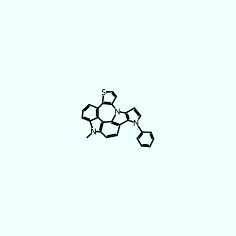 Cn1c2cccc3c4sccc4n4c5ccn(-c6ccccc6)c5c5ccc1c(c32)c54